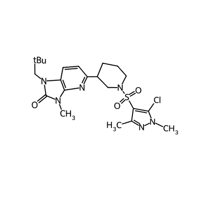 Cc1nn(C)c(Cl)c1S(=O)(=O)N1CCCC(c2ccc3c(n2)n(C)c(=O)n3CC(C)(C)C)C1